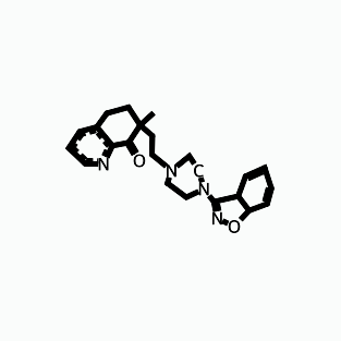 CC1(CCN2CCN(C3=NOC4C=CC=CC34)CC2)CCc2cccnc2C1=O